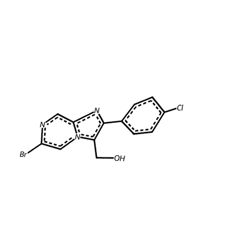 OCc1c(-c2ccc(Cl)cc2)nc2cnc(Br)cn12